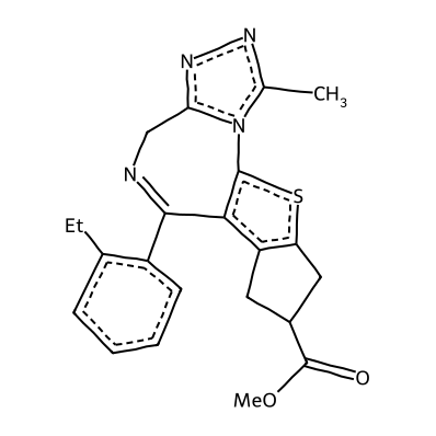 CCc1ccccc1C1=NCc2nnc(C)n2-c2sc3c(c21)CC(C(=O)OC)C3